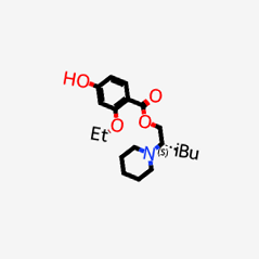 CCOc1cc(O)ccc1C(=O)OC[C@H](C(C)CC)N1CCCCC1